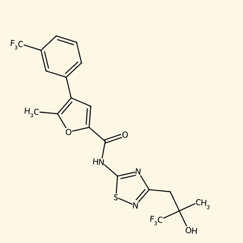 Cc1oc(C(=O)Nc2nc(CC(C)(O)C(F)(F)F)ns2)cc1-c1cccc(C(F)(F)F)c1